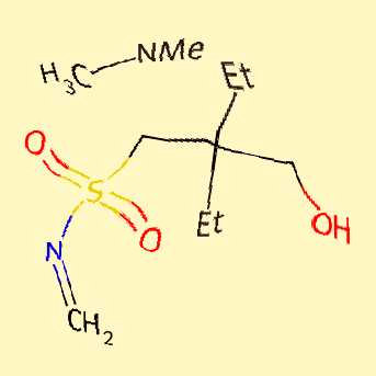 C=NS(=O)(=O)CC(CC)(CC)CO.CNC